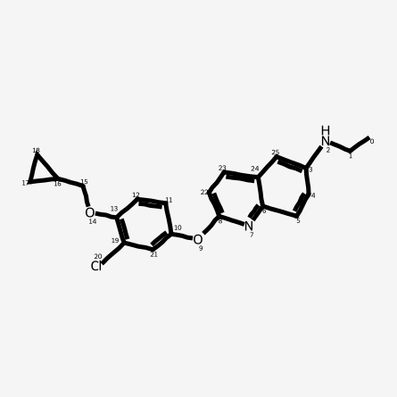 CCNc1ccc2nc(Oc3ccc(OCC4CC4)c(Cl)c3)ccc2c1